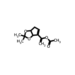 C=C(OC(C)=O)C1=CCC2OC(C)(C)OC12